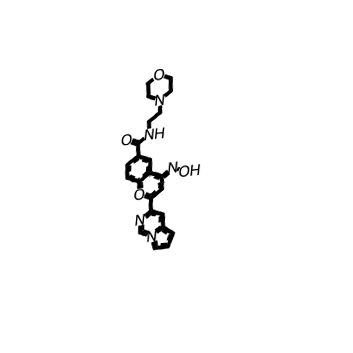 O=C(NCCN1CCOCC1)c1ccc2oc(-c3cc4cccn4cn3)cc(=NO)c2c1